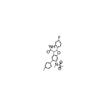 CNC(=O)C1c2cc(-c3ccc(C)cc3)c(N(C)S(C)(=O)=O)cc2OC1c1ccc(F)cc1